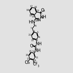 O=C(Nc1ccc(CCNc2n[nH]c(=O)c3ccccc23)cc1)Nc1ccc(Cl)c(C(F)(F)F)c1